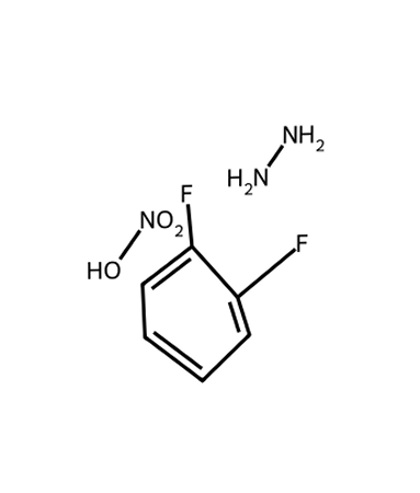 Fc1ccccc1F.NN.O=[N+]([O-])O